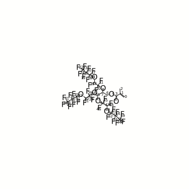 C=C(C)C(=O)OCC(OC(F)(F)C(F)OC(F)(F)C(F)(F)C(F)(F)F)C(OC(F)(F)C(F)OC(F)(F)C(F)(F)C(F)(F)F)OC(F)(F)C(F)OC(F)(F)C(F)(F)C(F)(F)F